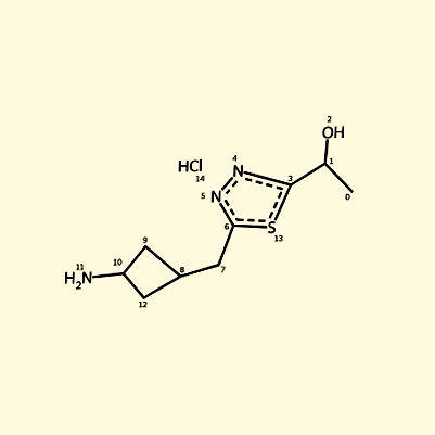 CC(O)c1nnc(CC2CC(N)C2)s1.Cl